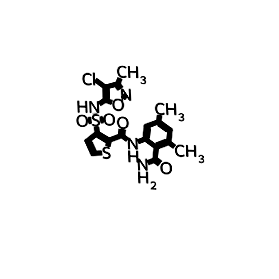 Cc1cc(C)c(C(N)=O)c(NC(=O)c2sccc2S(=O)(=O)Nc2onc(C)c2Cl)c1